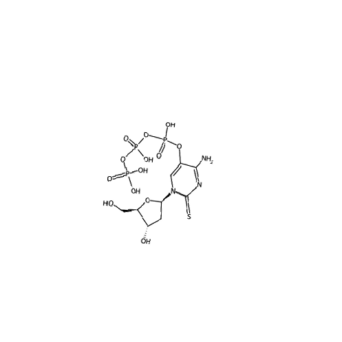 Nc1nc(=S)n([C@H]2C[C@H](O)[C@@H](CO)O2)cc1OP(=O)(O)OP(=O)(O)OP(=O)(O)O